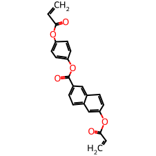 C=CC(=O)Oc1ccc(OC(=O)c2ccc3cc(OC(=O)C=C)ccc3c2)cc1